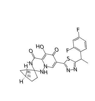 CC(c1nnc(-c2cn3c(c(O)c2=O)C(=O)N(C)C2(CC[C@H]4C[C@H]42)N3)s1)c1ccc(F)cc1F